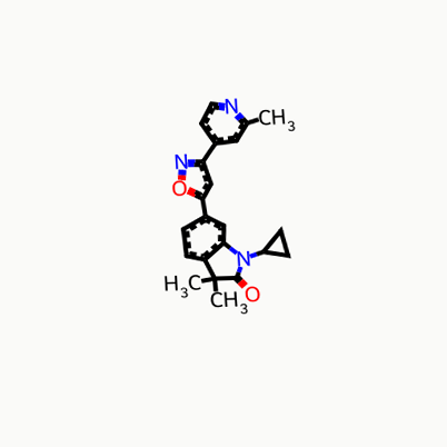 Cc1cc(-c2cc(-c3ccc4c(c3)N(C3CC3)C(=O)C4(C)C)on2)ccn1